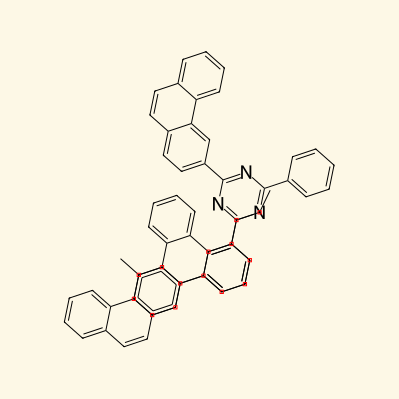 CCCc1cccc(-c2ccc3c(ccc4ccccc43)c2)c1-c1ccccc1-c1c(C)cccc1-c1cccc(-c2nc(-c3ccccc3)nc(-c3ccc4ccc5ccccc5c4c3)n2)c1